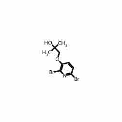 CC(C)(O)COc1ccc(Br)nc1Br